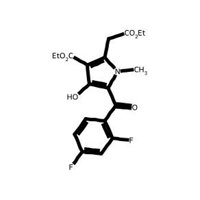 CCOC(=O)Cc1c(C(=O)OCC)c(O)c(C(=O)c2ccc(F)cc2F)n1C